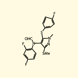 CSc1nn(C)c(Sc2ccc(F)cc2)c1N(C=O)c1ccc(F)cc1F